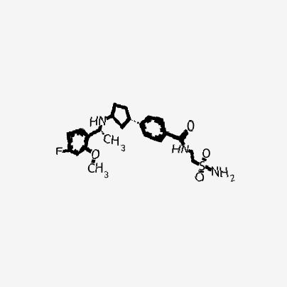 COc1cc(F)ccc1[C@@H](C)NC1CC[C@H](c2ccc(C(=O)NCCS(N)(=O)=O)cc2)C1